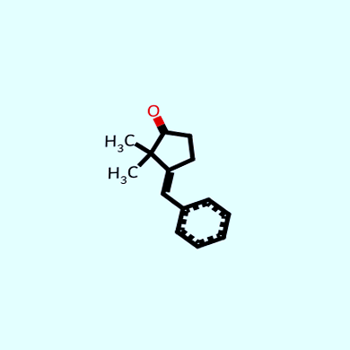 CC1(C)C(=O)CC/C1=C\c1ccccc1